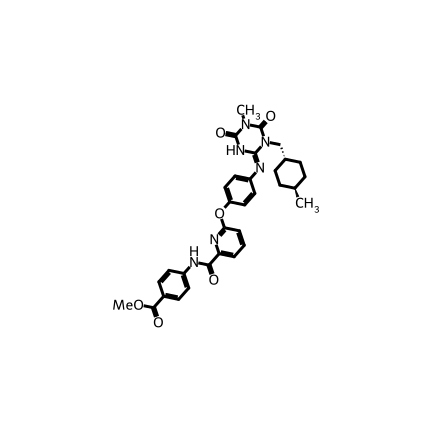 COC(=O)c1ccc(NC(=O)c2cccc(Oc3ccc(/N=c4\[nH]c(=O)n(C)c(=O)n4C[C@H]4CC[C@H](C)CC4)cc3)n2)cc1